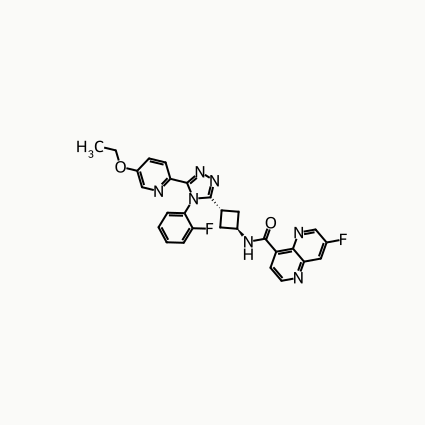 CCOc1ccc(-c2nnc([C@H]3C[C@H](NC(=O)c4ccnc5cc(F)cnc45)C3)n2-c2ccccc2F)nc1